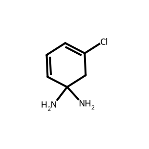 NC1(N)C=CC=C(Cl)C1